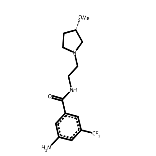 CO[C@H]1CCN(CCNC(=O)c2cc(N)cc(C(F)(F)F)c2)C1